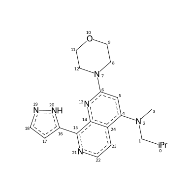 CC(C)CN(C)c1cc(N2CCOCC2)nc2c(-c3ccn[nH]3)nccc12